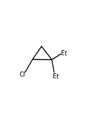 CCC1(CC)CC1Cl